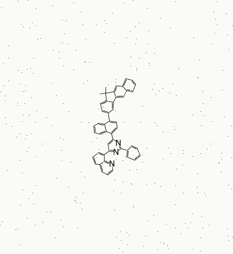 CC1(C)c2ccc(-c3ccc(-c4cc(-c5cccc6cccnc56)nc(-c5ccccc5)n4)c4ccccc34)cc2-c2cc3ccccc3cc21